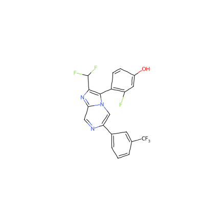 Oc1ccc(-c2c(C(F)F)nc3cnc(-c4cccc(C(F)(F)F)c4)cn23)c(F)c1